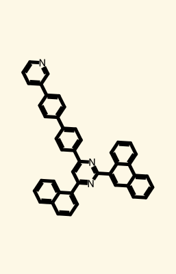 c1cncc(-c2ccc(-c3ccc(-c4cc(-c5cccc6ccccc56)nc(-c5cc6ccccc6c6ccccc56)n4)cc3)cc2)c1